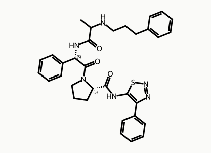 CC(NCCCc1ccccc1)C(=O)N[C@H](C(=O)N1CCC[C@H]1C(=O)Nc1snnc1-c1ccccc1)c1ccccc1